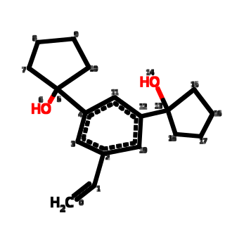 C=Cc1cc(C2(O)CCCC2)cc(C2(O)CCCC2)c1